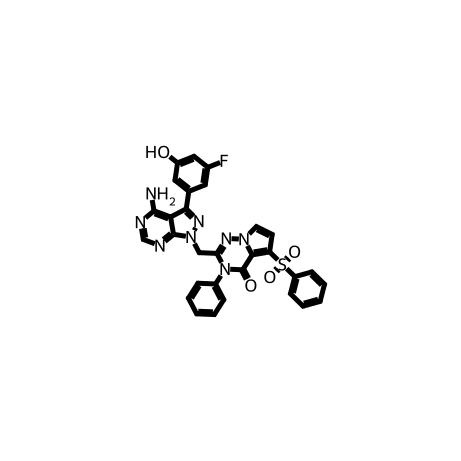 Nc1ncnc2c1c(-c1cc(O)cc(F)c1)nn2Cc1nn2ccc(S(=O)(=O)c3ccccc3)c2c(=O)n1-c1ccccc1